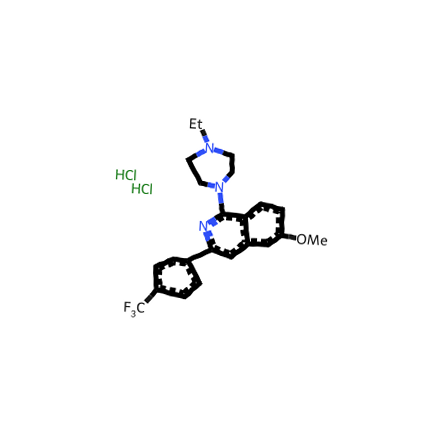 CCN1CCN(c2nc(-c3ccc(C(F)(F)F)cc3)cc3cc(OC)ccc23)CC1.Cl.Cl